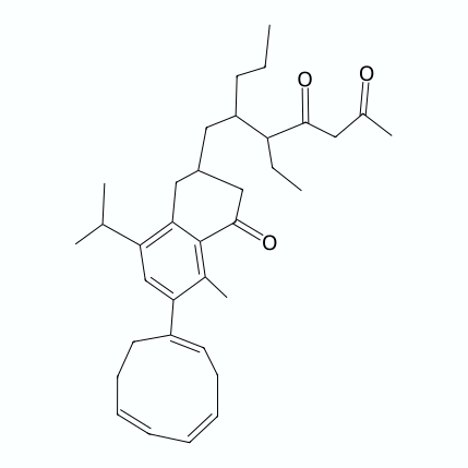 CCCC(CC1CC(=O)c2c(C)c(/C3=C/C/C=C\C=C/CC3)cc(C(C)C)c2C1)C(CC)C(=O)CC(C)=O